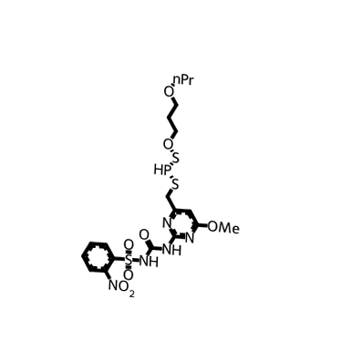 CCCOCCCOSPSCc1cc(OC)nc(NC(=O)NS(=O)(=O)c2ccccc2[N+](=O)[O-])n1